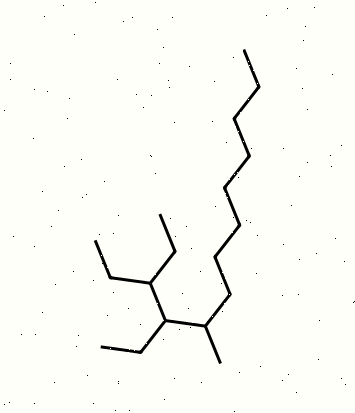 CCCCCCCCC(C)C(CC)C(CC)CC